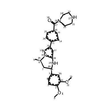 COc1ccc([C@H]2C[C@@H](C)n3nc(-c4ccc(C(=O)N5CCNCC5)cc4)cc3N2)cc1OC